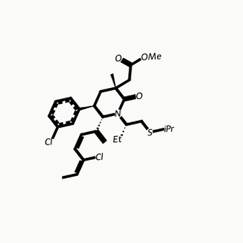 C=C(/C=C\C(Cl)=C/C)[C@@H]1[C@@H](c2cccc(Cl)c2)C[C@](C)(CC(=O)OC)C(=O)N1[C@@H](CC)CSC(C)C